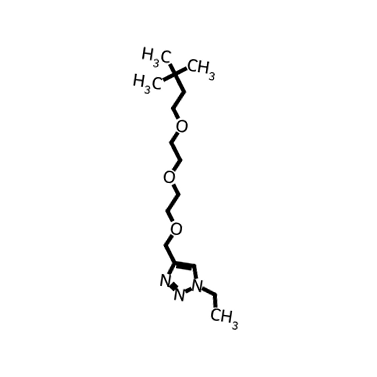 CCn1cc(COCCOCCOCCC(C)(C)C)nn1